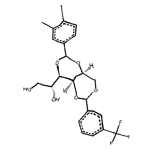 Cc1ccc(C2O[C@H]([C@H](O)CO)[C@@H]3OC(c4cccc(C(F)(F)F)c4)OC[C@@H]3O2)cc1C